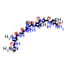 Cn1cc(NC(=O)c2nccn2C)cc1C(=O)NCCC(=O)Nc1cn(C)c(C(=O)Nc2cc(C(=O)N3CC(C(=O)Nc4cn(C)c(C(N)=O)n4)C3)n(C)c2)n1